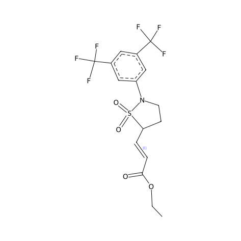 CCOC(=O)/C=C/C1CCN(c2cc(C(F)(F)F)cc(C(F)(F)F)c2)S1(=O)=O